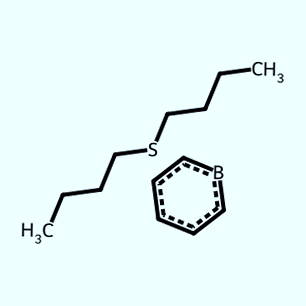 CCCCSCCCC.b1ccccc1